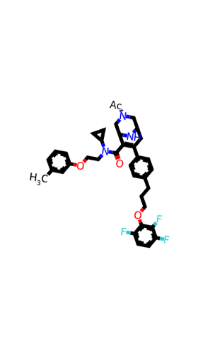 CC(=O)N1CC2CC(c3ccc(CCCOc4c(F)ccc(F)c4F)cc3)=C(C(=O)N(CCOc3cccc(C)c3)C3CC3)C(C1)N2